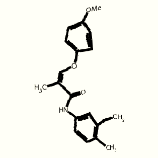 COc1ccc(OC=C(C)C(=O)Nc2ccc(C)c(C)c2)cc1